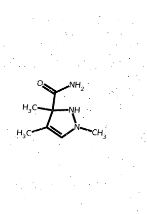 CC1=CN(C)NC1(C)C(N)=O